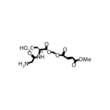 COC(=O)C=CC(=O)OCOC(=O)[C@H](CC(=O)O)NC(=O)CN